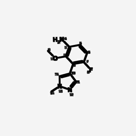 COc1c(N)ccc(F)c1-c1cnn(C)c1